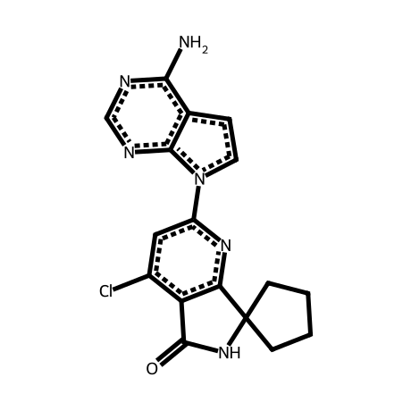 Nc1ncnc2c1ccn2-c1cc(Cl)c2c(n1)C1(CCCC1)NC2=O